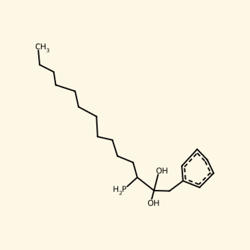 CCCCCCCCCCCC(P)C(O)(O)Cc1ccccc1